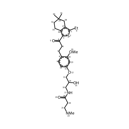 CCc1sc(C(=O)CCc2ccc(OCC(O)CNC(=O)CCNC)cc2OC)c2c1CC(C)(C)CC2